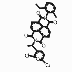 CCc1cccc(C)c1N1C(=O)c2ccc3c4c(ccc(c24)C1=O)C(=O)N(C(C)c1ccc(Cl)cc1Cl)C3=O